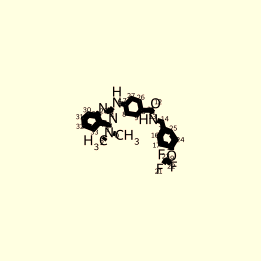 CN(C)c1nc(NC2CCC(C(=O)NCc3ccc(OC(F)(F)F)cc3)CC2)nc2ccccc12